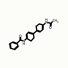 CC(=O)NC1=CC=C(C2=CC=C(NC(=O)c3ccccc3)CC2)CC1